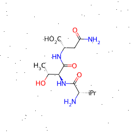 CC(C)[C@H](N)C(=O)N[C@H](C(=O)N[C@@H](CC(N)=O)C(=O)O)[C@@H](C)O